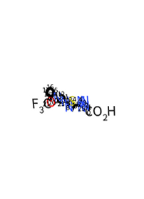 O=C(O)Cn1nnc(-c2cnc(N3CCN(c4ccccc4OC(F)(F)F)CC3)s2)n1